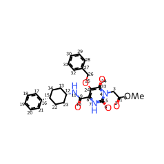 COC(=O)Cn1c(=O)[nH]c(C(=O)N[C@H]2CC[C@@H](c3ccccc3)CC2)c(OCc2ccccc2)c1=O